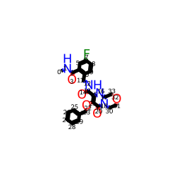 CNC(=O)c1cc(F)ccc1CNC(=O)c1nc2n(c(=O)c1OCc1ccccc1)CCOC2